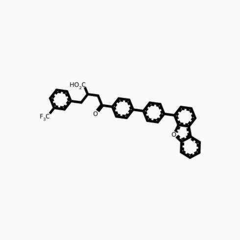 O=C(CC(Cc1cccc(C(F)(F)F)c1)C(=O)O)c1ccc(-c2ccc(-c3cccc4c3oc3ccccc34)cc2)cc1